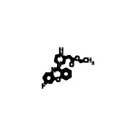 CCOC(=O)CC1CN(C2=Nc3ccc(F)cc3Oc3ccccc32)CCN1